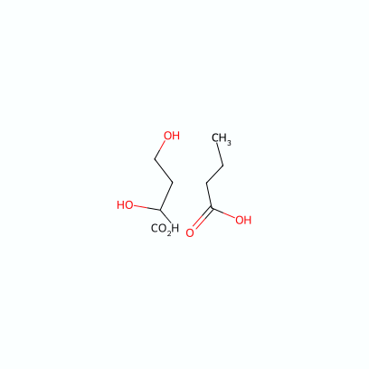 CCCC(=O)O.O=C(O)C(O)CCO